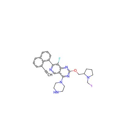 C#Cc1cccc2cccc(-c3ncc4c(N5CCNCC5)nc(OCC5CCCN5CI)nc4c3F)c12